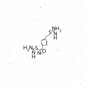 N=C(N)SCCc1ccc(-c2ocnc2SC(=N)N)cc1